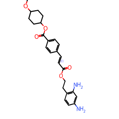 COC1CCC(OC(=O)c2ccc(/C=C/C(=O)OCCc3ccc(N)cc3N)cc2)CC1